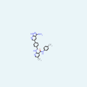 Nc1n[nH]c2ncc(-c3ccc(CNc4ncc(C(F)(F)F)cc4C(=O)Nc4ccc(C(F)(F)F)cc4)cc3)cc12